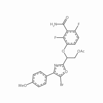 COc1ccc(-c2nc(C(COC(C)=O)Oc3ccc(F)c(C(N)=O)c3F)oc2Br)cc1